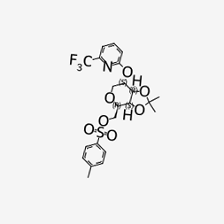 Cc1ccc(S(=O)(=O)OC[C@H]2OC[C@H](Oc3cccc(C(F)(F)F)n3)[C@H]3OC(C)(C)O[C@H]32)cc1